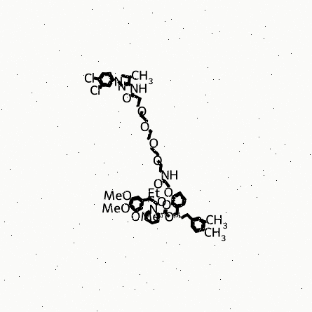 CC[C@H](C(=O)N1CCCC[C@H]1C(=O)O[C@@H](CCc1ccc(C)c(C)c1)c1cccc(OCC(=O)NCCOCCOCCOCCOCCC(=O)NC2=NN(c3ccc(Cl)c(Cl)c3)CC2C)c1)c1cc(OC)c(OC)c(OC)c1